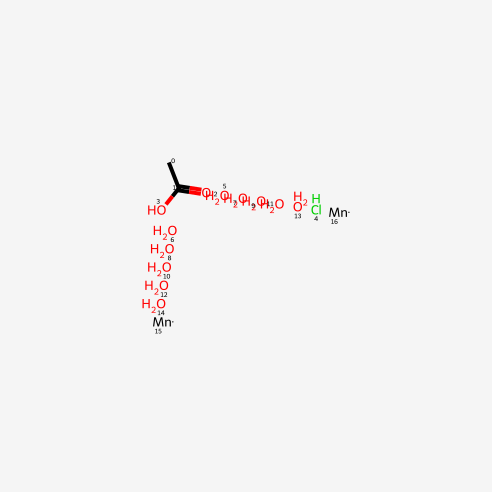 CC(=O)O.Cl.O.O.O.O.O.O.O.O.O.O.[Mn].[Mn]